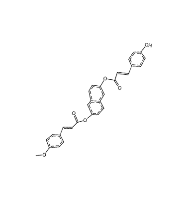 COc1ccc(/C=C/C(=O)Oc2ccc3cc(OC(=O)/C=C/c4ccc(O)cc4)ccc3c2)cc1